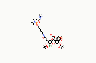 [C-]#[N+]CCOP(OCCCCCCNC(=O)CCc1cc2c(c(Cl)c1OC(=O)C(C)(C)C)Oc1cc(OC(=O)C(C)(C)C)c3ccccc3c1C21OC(=O)c2ccc([PH](C)=O)cc21)N(C(C)C)C(C)C